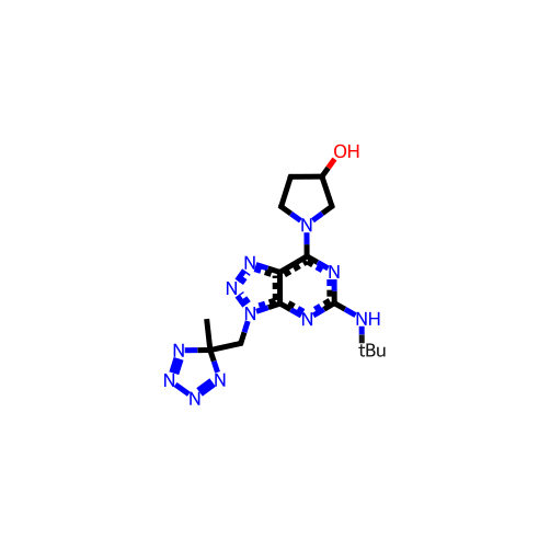 CC1(Cn2nnc3c(N4CCC(O)C4)nc(NC(C)(C)C)nc32)N=NN=N1